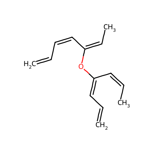 C=C/C=C\C(=C/C)OC(/C=C\C)=C/C=C